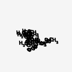 CCOC(=O)Cc1cc2c(s1)CCN(C(=O)[C@H](Cc1ccc(OCc3ccccc3)cc1)NC(=O)c1ccc(C(=NC(=O)OC(C)(C)C)N(C(=O)OC(C)(C)C)C(=O)OC(C)(C)C)cc1)C2